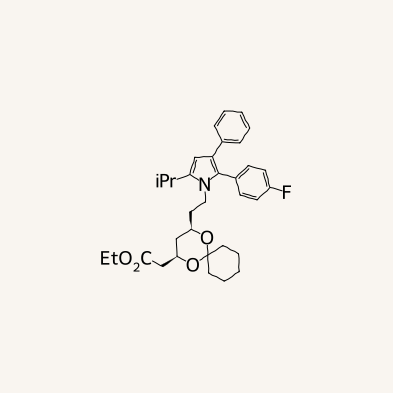 CCOC(=O)C[C@H]1C[C@@H](CCn2c(C(C)C)cc(-c3ccccc3)c2-c2ccc(F)cc2)OC2(CCCCC2)O1